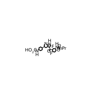 CCCS(=O)(=O)Nc1ccc(F)c(C(=O)c2c[nH]c3ncc(-c4ccc(NC(=O)O)cc4)cc23)c1F